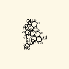 Cc1cnoc1COc1ccc(Cl)c2c1[C@@H](CN1CCCC1=O)N(C(=O)C1CCCCC1(C)C(=O)O)CC2